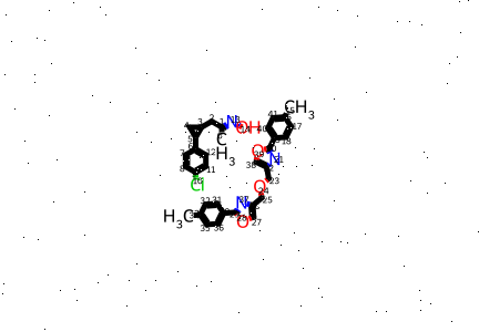 C/C(CC1CC1c1ccc(Cl)cc1)=N\O.Cc1ccc(-c2nc(COCc3coc(-c4ccc(C)cc4)n3)co2)cc1